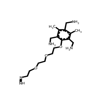 Cc1c(CN)c(C)c(CN)c(OCCOCCOCCN=N)c1CN